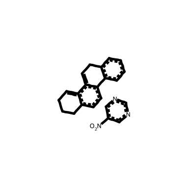 C1=c2c(ccc3c2=CCc2ccccc2-3)CCC1.O=[N+]([O-])c1cncnc1